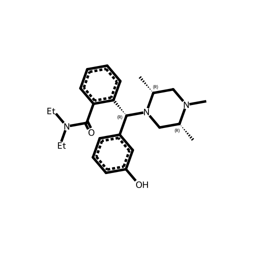 CCN(CC)C(=O)c1ccccc1[C@@H](c1cccc(O)c1)N1C[C@@H](C)N(C)C[C@H]1C